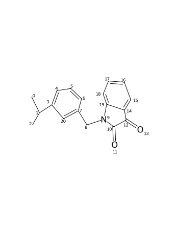 CC(C)c1cccc(CN2C(=O)C(=O)c3ccccc32)c1